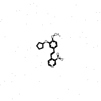 COc1ccc(/C=C/c2ccncc2[N+](=O)[O-])cc1OC1CCCC1